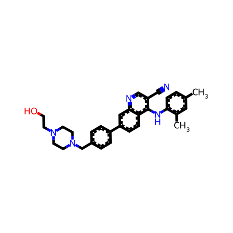 Cc1ccc(Nc2c(C#N)cnc3cc(-c4ccc(CN5CCN(CCO)CC5)cc4)ccc23)c(C)c1